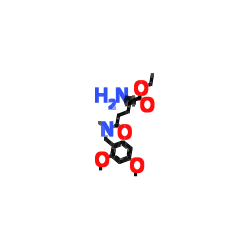 CCOC(=O)[C@@H](N)CCC(=O)N(C)Cc1ccc(OC)cc1OC